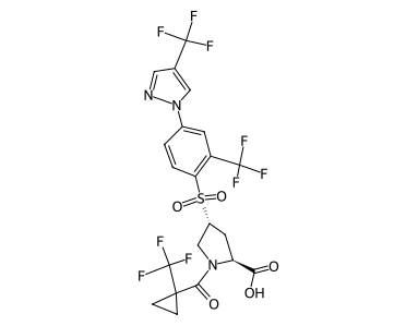 O=C(O)[C@@H]1C[C@@H](S(=O)(=O)c2ccc(-n3cc(C(F)(F)F)cn3)cc2C(F)(F)F)CN1C(=O)C1(C(F)(F)F)CC1